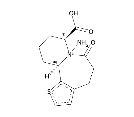 N[N+]12C(=O)CCc3ccsc3[C@H]1CCC[C@H]2C(=O)O